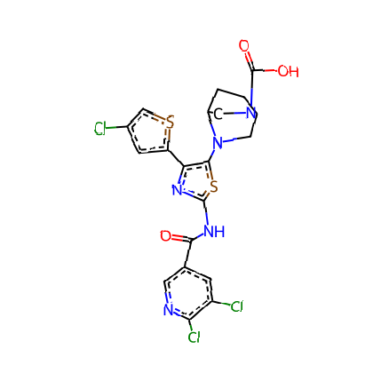 O=C(Nc1nc(-c2cc(Cl)cs2)c(N2CC3CCC2CN3C(=O)O)s1)c1cnc(Cl)c(Cl)c1